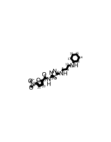 O=C(Nc1nnc(NCCCNC2CCCCC2)s1)c1ccc([N+](=O)[O-])o1